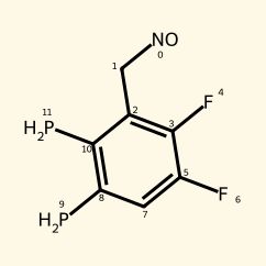 O=NCc1c(F)c(F)cc(P)c1P